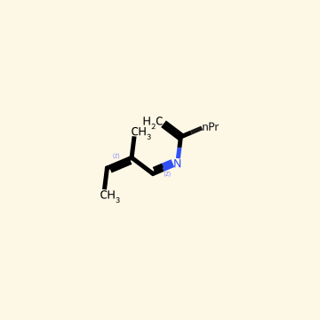 C=C(CCC)/N=C\C(C)=C/C